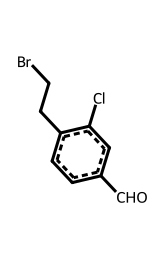 O=Cc1ccc(CCBr)c(Cl)c1